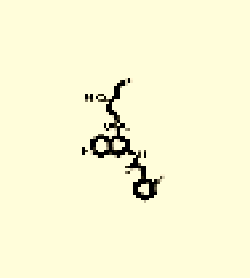 CC(C)CCN(C)/C=N/S(=O)(=O)c1cc(NC(=O)Cc2ccccc2Cl)cc2c1CCNC2